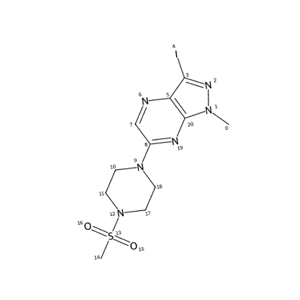 Cn1nc(I)c2ncc(N3CCN(S(C)(=O)=O)CC3)nc21